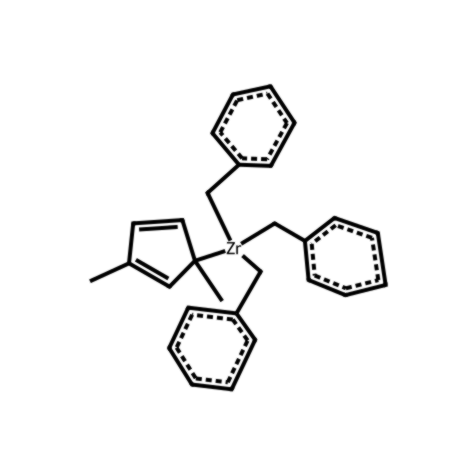 CC1=C[C](C)([Zr]([CH2]c2ccccc2)([CH2]c2ccccc2)[CH2]c2ccccc2)C=C1